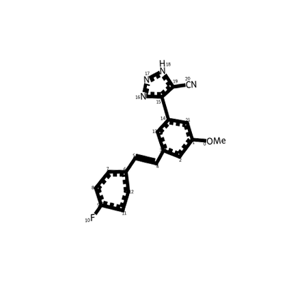 COc1cc(/C=C/c2ccc(F)cc2)cc(-c2nn[nH]c2C#N)c1